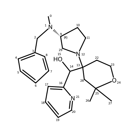 CN(Cc1ccccc1)[C@@H]1CCN(C2(C(O)c3ccccn3)CCOC(C)(C)C2)C1